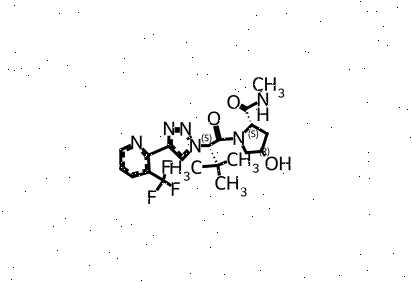 CNC(=O)[C@@H]1C[C@@H](O)CN1C(=O)[C@@H](n1cc(-c2ncccc2C(F)(F)F)nn1)C(C)(C)C